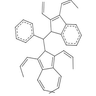 C=CC1=C(/C=C\C)c2ccccc2C1C(c1ccccc1)C1C(/C=C\C)=C(/C=C\C)C(/C=C\C)=C1/C=C\C